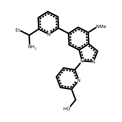 CCC(N)c1cccc(-c2cc(NC)c3cnn(-c4cccc(CO)n4)c3c2)n1